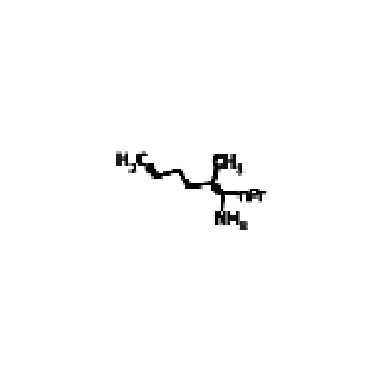 C=CCC/C(C)=C(\N)CCC